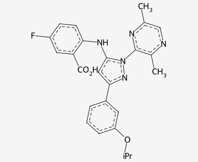 Cc1cnc(C)c(-n2nc(-c3cccc(OC(C)C)c3)cc2Nc2ccc(F)cc2C(=O)O)n1